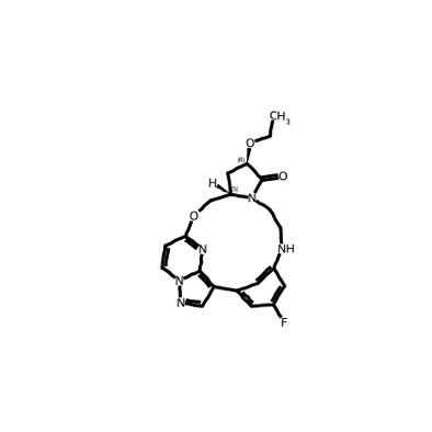 CCO[C@@H]1C[C@H]2COc3ccn4ncc(c4n3)-c3cc(F)cc(c3)NCCN2C1=O